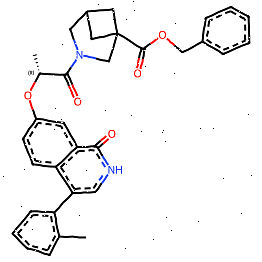 Cc1ccccc1-c1c[nH]c(=O)c2cc(O[C@H](C)C(=O)N3CC4CC(C(=O)OCc5ccccc5)(C4)C3)ccc12